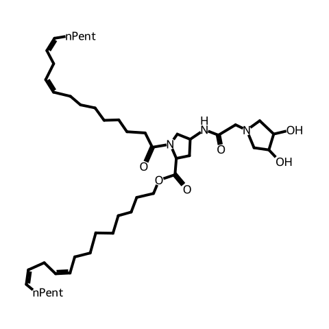 CCCCC/C=C\C/C=C\CCCCCCCCOC(=O)C1CC(NC(=O)CN2CC(O)C(O)C2)CN1C(=O)CCCCCCC/C=C\C/C=C\CCCCC